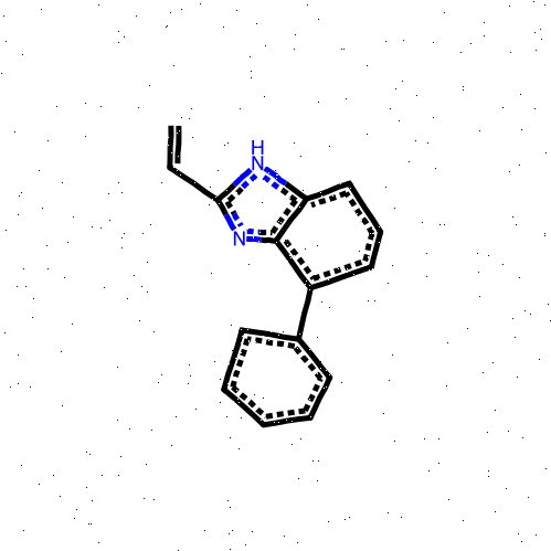 C=Cc1nc2c(-c3ccccc3)cccc2[nH]1